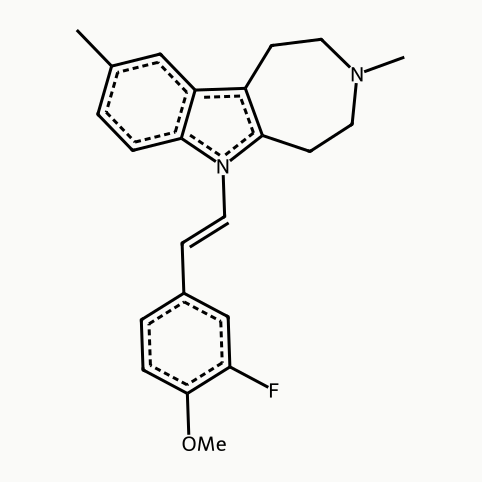 COc1ccc(C=Cn2c3c(c4cc(C)ccc42)CCN(C)CC3)cc1F